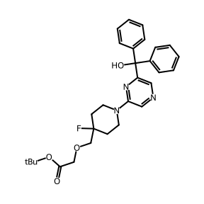 CC(C)(C)OC(=O)COCC1(F)CCN(c2cncc(C(O)(c3ccccc3)c3ccccc3)n2)CC1